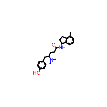 Cc1cccc2c1CCC2NC(=O)CCC(Cc1ccc(O)cc1)N(C)C